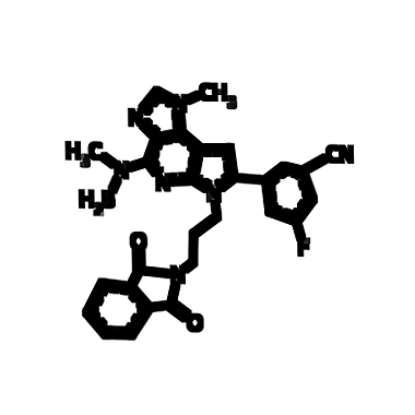 BN(C)c1nc2c(cc(-c3cc(F)cc(C#N)c3)n2CCCN2C(=O)c3ccccc3C2=O)c2c1ncn2C